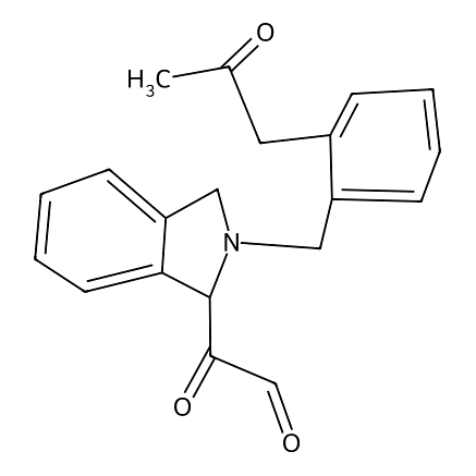 CC(=O)Cc1ccccc1CN1Cc2ccccc2C1C(=O)C=O